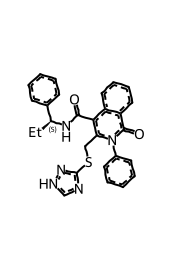 CC[C@H](NC(=O)c1c(CSc2nc[nH]n2)n(-c2ccccc2)c(=O)c2ccccc12)c1ccccc1